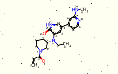 C=CC(=O)N1CCC[C@H](N(CC)c2cc(-c3ccnc(NC)c3)c[nH]c2=O)C1